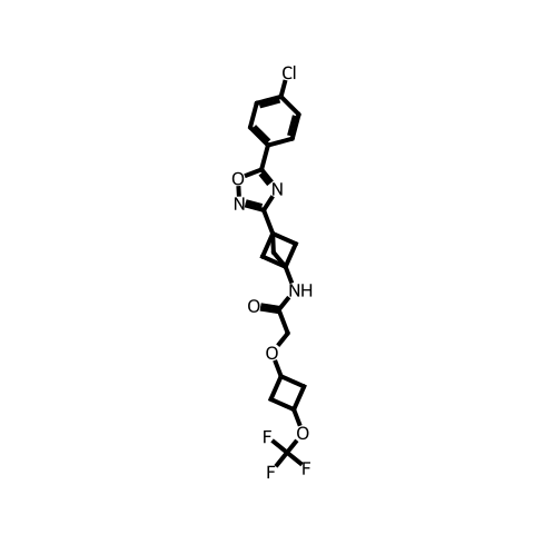 O=C(COC1CC(OC(F)(F)F)C1)NC12CC(c3noc(-c4ccc(Cl)cc4)n3)(C1)C2